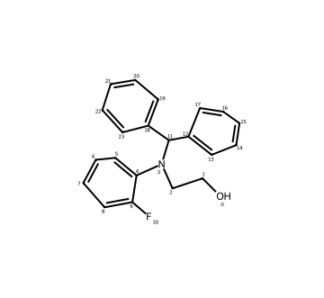 OCCN(c1ccccc1F)C(c1ccccc1)c1ccccc1